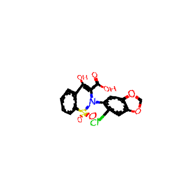 O=C(O)C1=C(O)c2ccccc2S(=O)(=O)N1c1cc2c(cc1Cl)OCO2